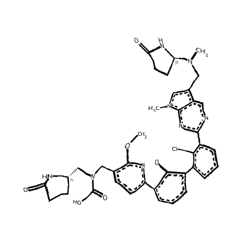 COc1nc(-c2cccc(-c3cccc(-c4ncc5c(CN(C)[C@H]6CCC(=O)N6)cn(C)c5n4)c3Cl)c2Cl)ccc1CN(C[C@@H]1CCC(=O)N1)C(=O)O